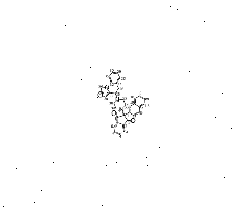 O=C1c2ccccc2C(=O)C1(c1ccc2ccccc2c1)N1CCN(C(Cc2ccccc2)C2=COCO2)CC1